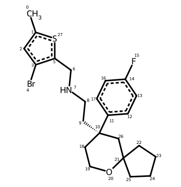 Cc1cc(Br)c(CNCC[C@@]2(c3ccc(F)cc3)CCOC3(CCCC3)C2)s1